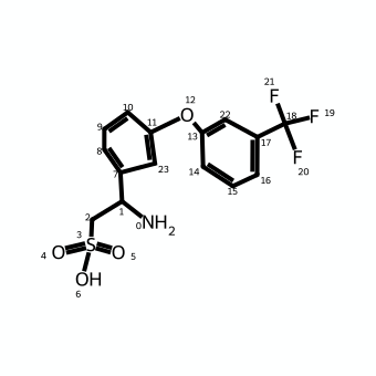 NC(CS(=O)(=O)O)c1cccc(Oc2cccc(C(F)(F)F)c2)c1